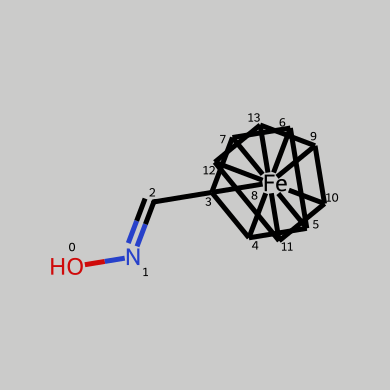 ON=C[C]12[CH]3[CH]4[CH]5[CH]1[Fe]45321678[CH]2[CH]1[CH]6[CH]7[CH]28